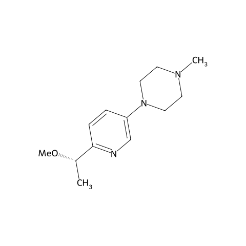 CO[C@@H](C)c1ccc(N2CCN(C)CC2)cn1